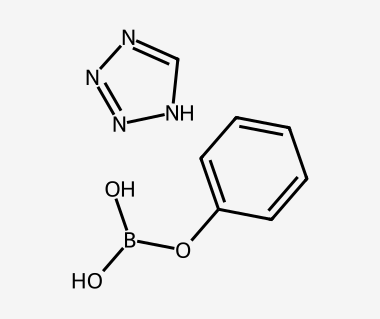 OB(O)Oc1ccccc1.c1nnn[nH]1